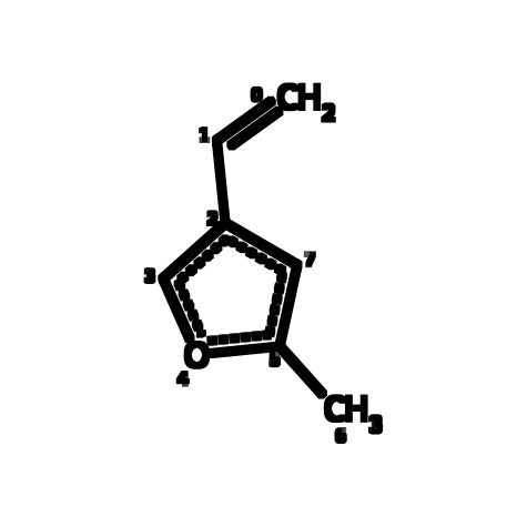 C=Cc1coc(C)c1